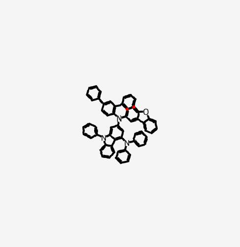 c1ccc(-c2ccc(N(c3ccc4oc5ccccc5c4c3)c3cc(N(c4ccccc4)c4ccccc4)c4c5ccccc5n(-c5ccccc5)c4c3)c(-c3ccccc3)c2)cc1